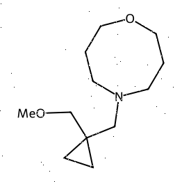 COCC1(CN2CCCOCCC2)CC1